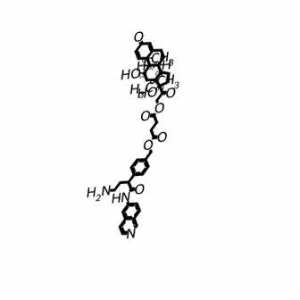 C[C@]12C[C@H](O)[C@H]3[C@@H](CCC4=CC(=O)C=C[C@@]43C)[C@]1(C)CC[C@]2(O)C(=O)COC(=O)CCC(=O)OCc1ccc(C(CCN)C(=O)Nc2ccc3cnccc3c2)cc1